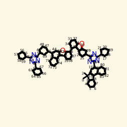 CC1(C)c2ccccc2-c2c1cc(-c1nc(-c3ccccc3)nc(-c3ccc4c(c3)oc3cccc(-c5cccc6c5oc5cc(-c7cccc(-c8nc(-c9ccccc9)nc(-c9ccccc9)n8)c7)c7ccccc7c56)c34)n1)c1ccccc21